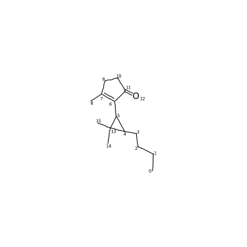 CCCCC1C(C2=C(C)CCC2=O)C1(C)C